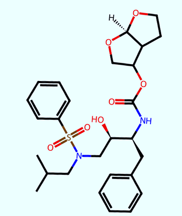 CC(C)CN(C[C@@H](O)[C@H](Cc1ccccc1)NC(=O)OC1CO[C@H]2OCCC12)S(=O)(=O)c1ccccc1